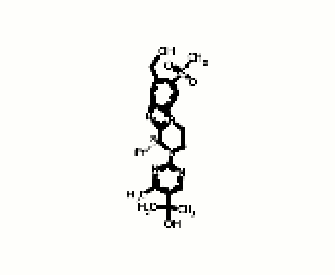 Cc1nc(N2CCn3c(nc4cc(CO)c(S(C)(=O)=O)cc43)[C@H]2C(C)C)ncc1C(C)(C)O